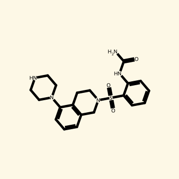 NC(=O)Nc1ccccc1S(=O)(=O)N1CCc2c(cccc2N2CCNCC2)C1